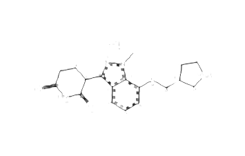 Cl.Cn1nc(C2CCC(=O)NC2=O)c2cccc(NC[C@H]3CCNC3)c21